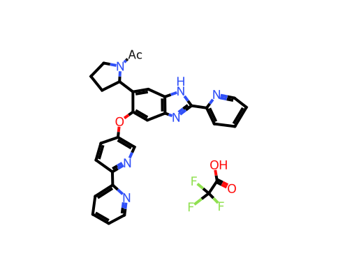 CC(=O)N1CCCC1c1cc2[nH]c(-c3ccccn3)nc2cc1Oc1ccc(-c2ccccn2)nc1.O=C(O)C(F)(F)F